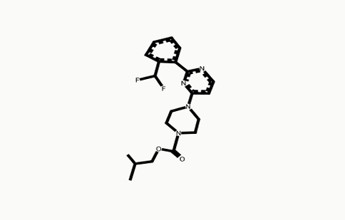 CC(C)COC(=O)N1CCN(c2ccnc(-c3ccccc3C(F)F)n2)CC1